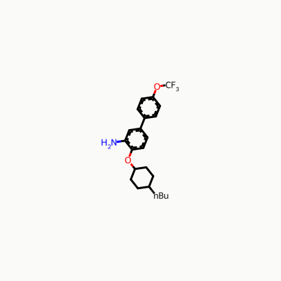 CCCCC1CCC(Oc2ccc(-c3ccc(OC(F)(F)F)cc3)cc2N)CC1